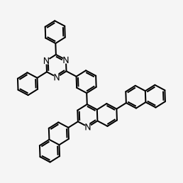 c1ccc(-c2nc(-c3ccccc3)nc(-c3cccc(-c4cc(-c5ccc6ccccc6c5)nc5ccc(-c6ccc7ccccc7c6)cc45)c3)n2)cc1